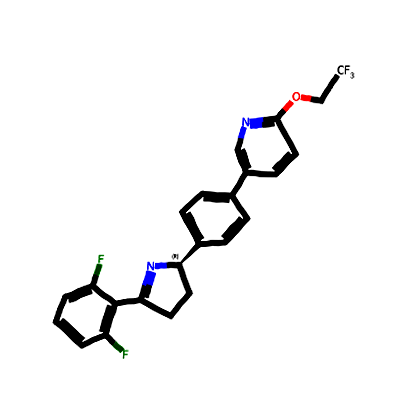 Fc1cccc(F)c1C1=N[C@@H](c2ccc(-c3ccc(OCC(F)(F)F)nc3)cc2)CC1